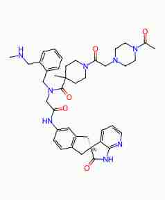 CNCc1ccccc1CN(CC(=O)Nc1ccc2c(c1)C[C@@]1(C2)C(=O)Nc2ncccc21)C(=O)C1(C)CCN(C(=O)CN2CCN(C(C)=O)CC2)CC1